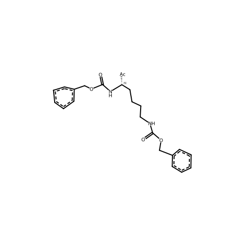 CC(=O)[C@H](CCCCNC(=O)OCc1ccccc1)NC(=O)OCc1ccccc1